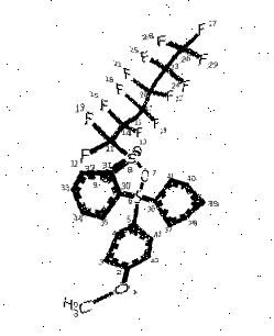 COc1ccc(S(OS(=O)(=O)C(F)(F)C(F)(F)C(F)(F)C(F)(F)C(F)(F)C(F)(F)F)(c2ccccc2)c2ccccc2)cc1